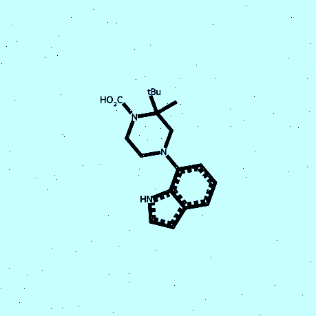 CC(C)(C)C1(C)CN(c2cccc3cc[nH]c23)CCN1C(=O)O